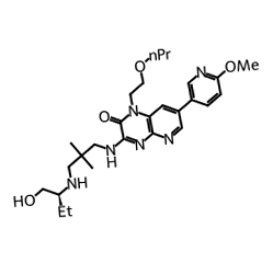 CCCOCCn1c(=O)c(NCC(C)(C)CN[C@@H](CC)CO)nc2ncc(-c3ccc(OC)nc3)cc21